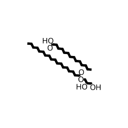 CCCCCCCCCCCCCC(=O)O.CCCCCCCCCCCCCCCCCC(=O)OCC(O)CO